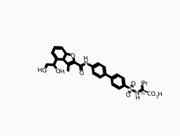 CC1=C(C(=O)Nc2ccc(-c3ccc(S(=O)(=O)N[C@H](C(=O)O)C(C)C)cc3)cc2)OC2C=CC=C(C(O)CO)C12